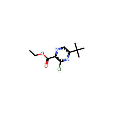 CCOC(=O)c1ncc(C(C)(C)C)nc1Cl